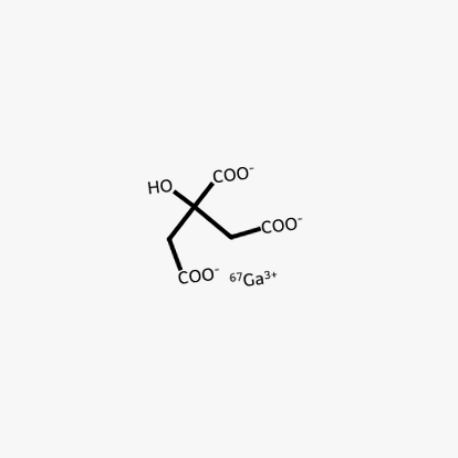 O=C([O-])CC(O)(CC(=O)[O-])C(=O)[O-].[67Ga+3]